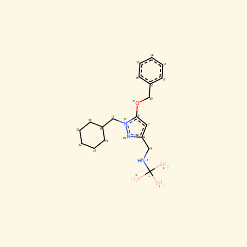 BC(B)(B)NCc1cc(OCc2ccccc2)n(CC2CCCCC2)n1